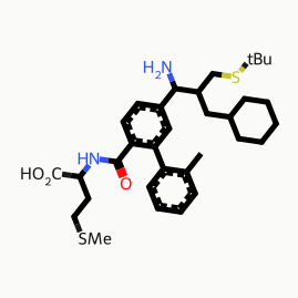 CSCCC(NC(=O)c1ccc(C(N)C(CSC(C)(C)C)CC2CCCCC2)cc1-c1ccccc1C)C(=O)O